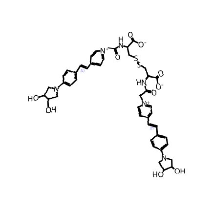 O=C(C[n+]1ccc(/C=C/c2ccc(N3CC(O)C(O)C3)cc2)cc1)NC(CSSCC(NC(=O)C[n+]1ccc(/C=C/c2ccc(N3CC(O)C(O)C3)cc2)cc1)C(=O)[O-])C(=O)[O-]